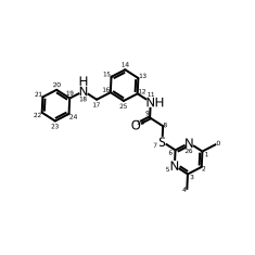 Cc1cc(C)nc(SCC(=O)Nc2cccc(CNc3ccccc3)c2)n1